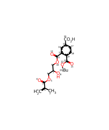 C=C(C)C(=O)OCC(O)COC(=O)c1cc(C(=O)O)ccc1C(=O)OC(C)CC